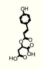 O=C(O)CC(OC(=O)/C=C/c1ccc(O)cc1)C(=O)O